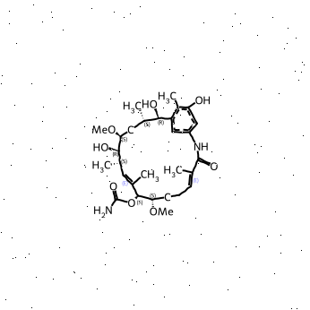 CO[C@H]1C[C@H](C)[C@@H](O)c2cc(cc(O)c2C)NC(=O)/C(C)=C/CC[C@H](OC)[C@@H](OC(N)=O)/C(C)=C/[C@H](C)[C@H]1O